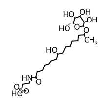 CC(CCCCCCC(O)CCCCCCC(=O)NCCS(=O)(=O)O)O[C@@H]1O[C@H](CO)[C@@H](O)[C@H](O)[C@H]1O